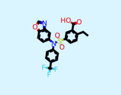 CCc1ccc(S(=O)(=O)N(c2ccc(C(F)(F)F)cc2)c2ccc3ocnc3c2)cc1C(=O)O